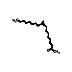 CCCCCCCCC1=C(CCCCCCCC(C)=O)C1